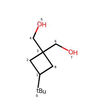 CC(C)(C)C1CC(CO)(CO)C1